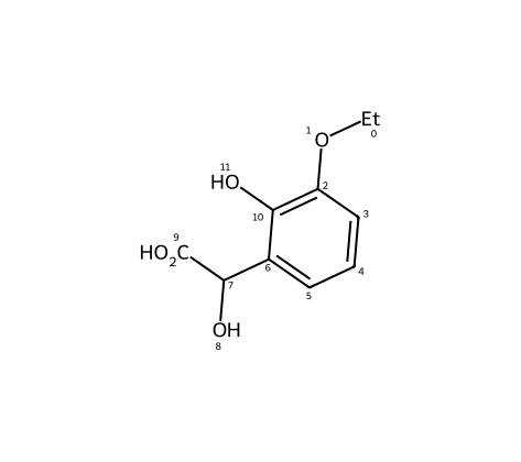 CCOc1cccc(C(O)C(=O)O)c1O